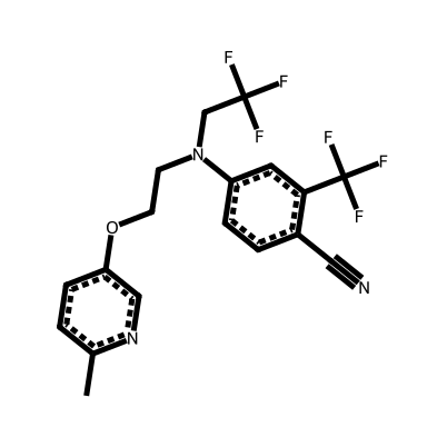 Cc1ccc(OCCN(CC(F)(F)F)c2ccc(C#N)c(C(F)(F)F)c2)cn1